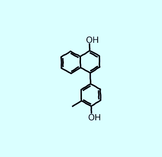 Cc1cc(-c2ccc(O)c3ccccc23)ccc1O